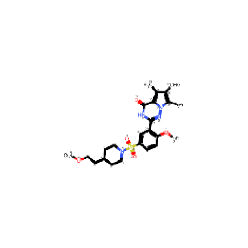 CCCOc1ccc(S(=O)(=O)N2CCC(CCO[N+](=O)[O-])CC2)cc1-c1nn2c(CCC)c(C=O)c(C)c2c(=O)[nH]1